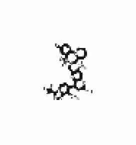 Cc1ccc(C(CC(=O)O)c2ccn3c(C(F)(F)F)nnc3c2C)nc1CN1C[C@@H]2CCCCN2c2ncc(F)cc2S1(=O)=O